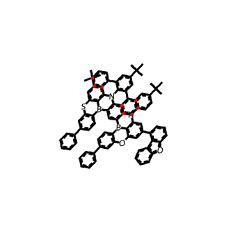 CC(C)(C)c1ccc(N2c3cc4c(cc3B3c5ccc(-c6ccccc6)cc5Oc5cc(-c6cccc7oc8ccccc8c67)cc2c53)B2c3ccc(-c5ccccc5)cc3Sc3cc(C(C)(C)C)cc(c32)N4c2c(-c3ccccc3)cc(C(C)(C)C)cc2-c2ccccc2)cc1